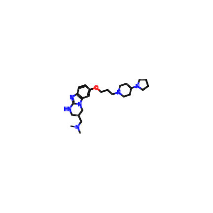 CN(C)CC1CNc2nc3ccc(OCCCN4CCC(N5CCCC5)CC4)cc3n2C1